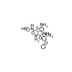 Cc1cc(Oc2ccccc2)ccc1C1(N)C(=O)C(N)C2c3c1ccc(N)c3SC2C(=O)NC1CCNC1